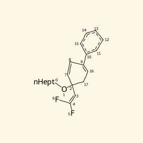 CCCCCCCOC1(C=C(F)F)C=CC(c2ccccc2)=CC1